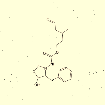 CC(CC=O)CCOC(=O)NN1COC(O)C1Cc1ccccc1